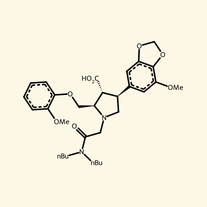 CCCCN(CCCC)C(=O)CN1C[C@H](c2cc(OC)c3c(c2)OCO3)[C@@H](C(=O)O)[C@@H]1COc1ccccc1OC